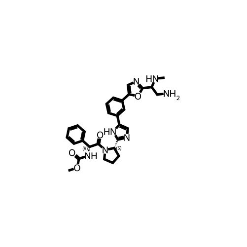 CNC(CN)c1ncc(-c2cccc(-c3cnc([C@@H]4CCCN4C(=O)[C@H](NC(=O)OC)c4ccccc4)[nH]3)c2)o1